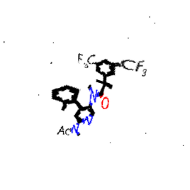 CC(=O)N(C)c1cc(-c2ccccc2C)c(N(C)C(=O)C(C)(C)c2cc(C(F)(F)F)cc(C(F)(F)F)c2)cn1